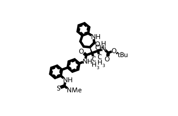 CNC(=S)Nc1ccccc1-c1ccc(NC(=O)C(C)([C@H]2CCc3ccccc3NC2=O)C(C)(C)NC(=O)OC(C)(C)C)cc1